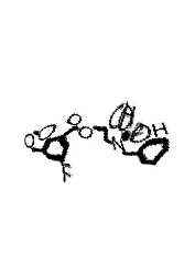 C=C(COC(=O)c1cc(F)cc2c1OCOC2)CN(Cc1ccccc1)C(=O)O